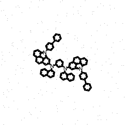 c1ccc(-c2ccc(-n3c4cccc5ccc6cc(N(c7cccc(N(c8cc9ccc%10cccc%11c%10c9c(c8)n%11-c8ccc(-c9ccccc9)cc8)c8cccc9ccccc89)c7)c7cccc8ccccc78)cc3c6c54)cc2)cc1